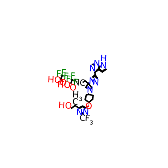 CC(CO)c1cc(O[C@H]2CC[C@@H](N3CC(CC#N)(n4cc(-c5ncnc6[nH]ccc56)cn4)C3)CC2)nc(C(F)(F)F)n1.O=C(O)C(F)(F)F.O=C(O)C(F)(F)F